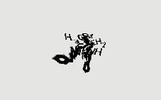 C=C(CSC1=NCN(CC2CCCCC2)CN1)/C(=C\C=C(/C)Br)CSC1=NCN(CC2CCCCC2)CN1